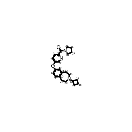 O=C(c1ccc(Oc2ccc3c(c2)CCN(C2CCC2)CC3)cn1)N1CCCC1